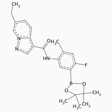 CCc1ccc2c(C(=O)Nc3cc(B4OC(C)(C)C(C)(C)O4)c(F)cc3C)cnn2c1